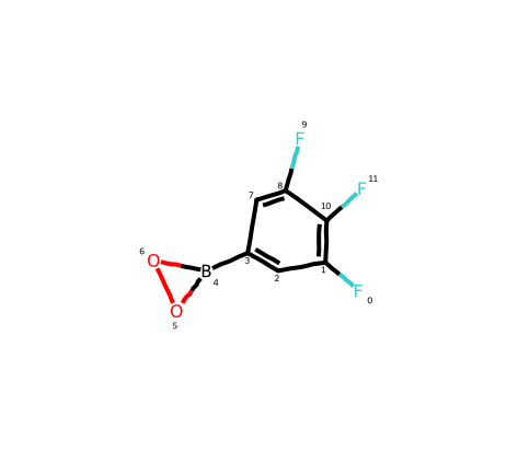 Fc1cc(B2OO2)cc(F)c1F